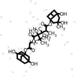 CC(C(=O)OC12CC3CC(O)(CC(C)(O)C1)C32)C(C)(C)C(C)(C(=O)OCC(=O)OC12CC3CC(O)(CC(O)(C3)C1)C2)C(C)(C)C